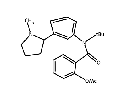 COc1ccccc1C(=O)N(c1cccc(C2CCCN2C)c1)C(C)(C)C